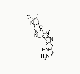 Cc1ccc(CN(C=O)/N=C\c2c(C)n(C)c3nc(CC(=N)/C=C\N)sc23)nc1Cl